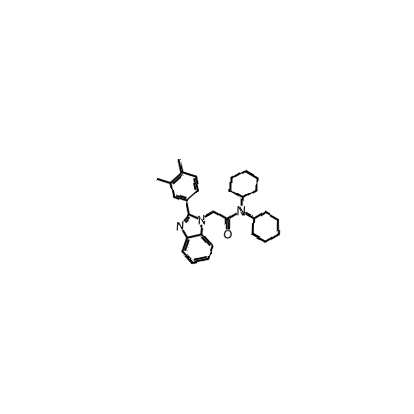 Cc1ccc(-c2nc3ccccc3n2CC(=O)N(C2CCCCC2)C2CCCCC2)cc1C